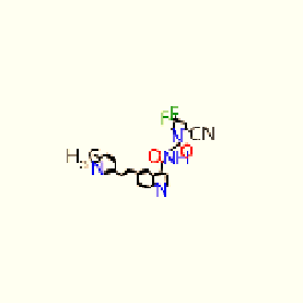 Cc1ccc(/C=C/c2ccc3nccc(C(=O)NCC(=O)N4CC(F)(F)C[C@H]4C#N)c3c2)cn1